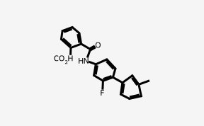 Cc1cccc(-c2ccc(NC(=O)c3ccccc3C(=O)O)cc2F)c1